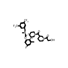 Cc1cc(F)ccc1[C@@H]1CN(C(=O)C2CCCN(C(=O)CO)C2)CC[C@H]1C(=O)N(C)Cc1cc(C(F)(F)F)cc(C(F)(F)F)c1